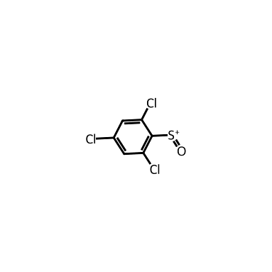 O=[S+]c1c(Cl)cc(Cl)cc1Cl